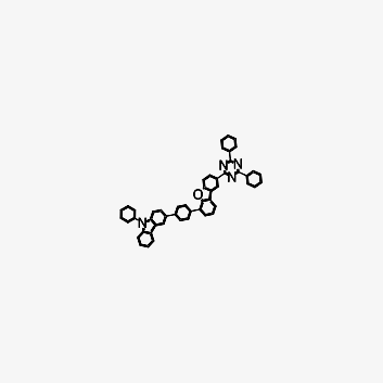 c1ccc(-c2nc(-c3ccccc3)nc(-c3ccc4oc5c(-c6ccc(-c7ccc8c(c7)c7ccccc7n8-c7ccccc7)cc6)cccc5c4c3)n2)cc1